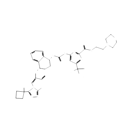 C=C/C(=C\n1c(C)nnc1C1(C)CCC1)O[C@@H]1CC[C@H](NC(=O)Nc2cc(C(C)(C)C)nc(C(=O)NCCN3CCOCC3)n2)c2ccccc21